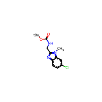 Cn1c(CNC(=O)OC(C)(C)C)nc2ccc(Cl)cc21